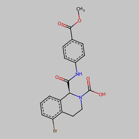 COC(=O)c1ccc(NC(=O)[C@@H]2c3cccc(Br)c3CCN2C(=O)O)cc1